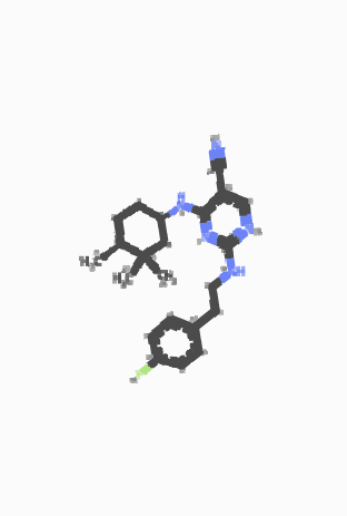 C[C@H]1CC[C@@H](Nc2nc(NCCc3ccc(F)cc3)ncc2C#N)CC1(C)C